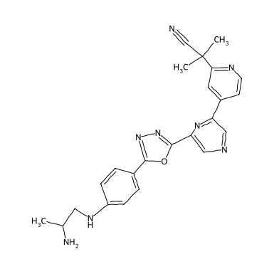 CC(N)CNc1ccc(-c2nnc(-c3cncc(-c4ccnc(C(C)(C)C#N)c4)n3)o2)cc1